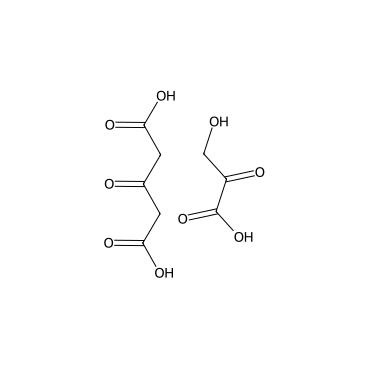 O=C(O)C(=O)CO.O=C(O)CC(=O)CC(=O)O